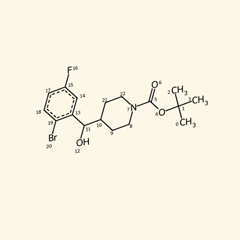 CC(C)(C)OC(=O)N1CCC(C(O)c2cc(F)ccc2Br)CC1